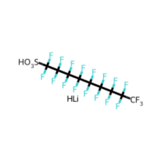 O=S(=O)(O)C(F)(F)C(F)(F)C(F)(F)C(F)(F)C(F)(F)C(F)(F)C(F)(F)C(F)(F)C(F)(F)F.[LiH]